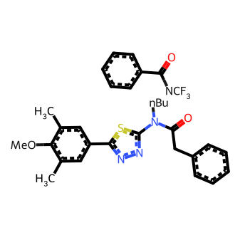 CCCCN(C(=O)Cc1ccccc1)c1nnc(-c2cc(C)c(OC)c(C)c2)s1.O=C(NC(F)(F)F)c1ccccc1